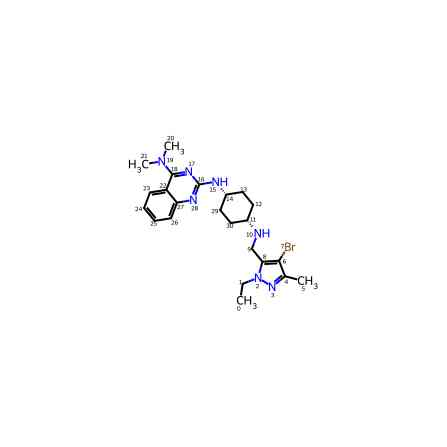 CCn1nc(C)c(Br)c1CN[C@H]1CC[C@@H](Nc2nc(N(C)C)c3ccccc3n2)CC1